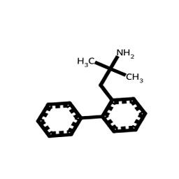 CC(C)(N)Cc1ccccc1-c1ccccc1